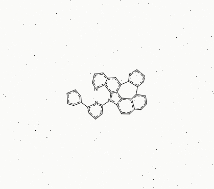 c1ccc(-c2cccc(-n3c4ccc5cccc6c5c4c4c(cc5cccnc5c43)-c3ccccc3-6)n2)cc1